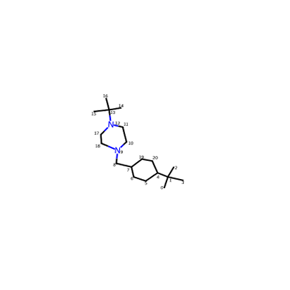 CC(C)(C)C1CCC(CN2CCN(C(C)(C)C)CC2)CC1